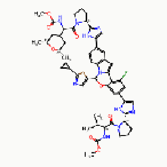 COC(=O)NC(C(=O)N1CCC[C@H]1c1ncc(-c2ccc3c(c2)cc2n3C(c3cnc(C4CC4)s3)Oc3cc(-c4cnc([C@@H]5CCCN5C(=O)[C@@H](NC(=O)OC)C(C)C)[nH]4)cc(F)c3-2)[nH]1)C1C[C@@H](C)O[C@@H](C)C1